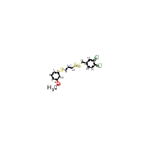 COc1cccc(SC/C=C/SSCc2ccc(Cl)c(Cl)c2)c1